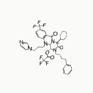 O=C1[C@H](C2CCCCC2)N2C(=O)c3cc(C(F)(F)F)ccc3N(CCCn3ccnc3)C2C(OC(=O)C(F)(F)F)N1CCCCc1ccccc1